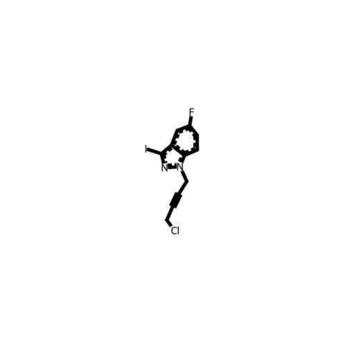 Fc1ccc2c(c1)c(I)nn2CC#CCCl